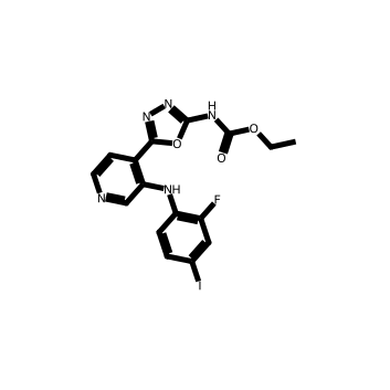 CCOC(=O)Nc1nnc(-c2ccncc2Nc2ccc(I)cc2F)o1